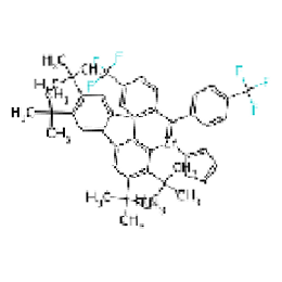 CC(C)(C)c1cc2c(cc1C(C)(C)C)-c1cc(C(C)(C)C)c(C(C)(C)C)[c]([Zr]([C]3=CC=CC3)=[C](c3ccc(C(F)(F)F)cc3)c3ccc(C(F)(F)F)cc3)c1C2